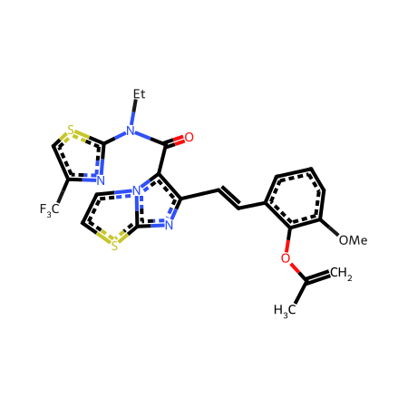 C=C(C)Oc1c(/C=C/c2nc3sccn3c2C(=O)N(CC)c2nc(C(F)(F)F)cs2)cccc1OC